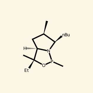 CCCC[C@@H]1[C@H](C)C[C@H]2N1P(C)O[C@@]2(C)CC